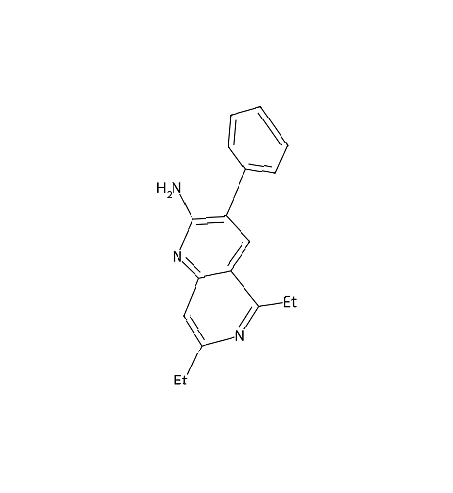 CCc1cc2nc(N)c(-c3ccccc3)cc2c(CC)n1